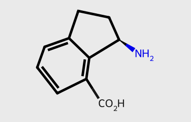 N[C@@H]1CCc2cccc(C(=O)O)c21